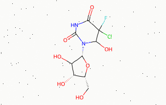 O=C1NC(=O)C(F)(Cl)C(O)N1[C@@H]1O[C@H](CO)[C@H](O)C1O